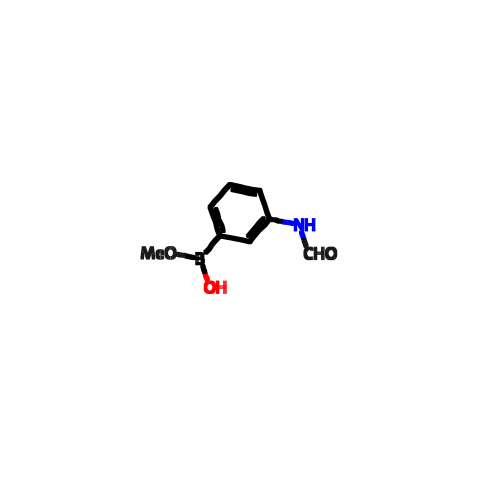 COB(O)c1cccc(NC=O)c1